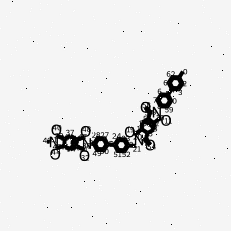 Cc1ccc(-c2ccc(N3C(=O)C4C5C=CC(C6C(=O)N(Cc7ccc(-c8ccc(N9C(=O)C%10C%11C=CC(C%12C(=O)N(C)C(=O)C%11%12)C%10C9=O)cc8)cc7)C(=O)C56)C4C3=O)cc2)cc1